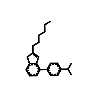 CCCCCCC1=Cc2c(cccc2-c2ccc(C(C)C)cc2)[CH]1